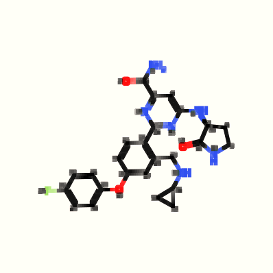 NC(=O)c1cc(N[C@H]2CCNC2=O)nc(-c2ccc(Oc3ccc(F)cc3)cc2CNC2CC2)n1